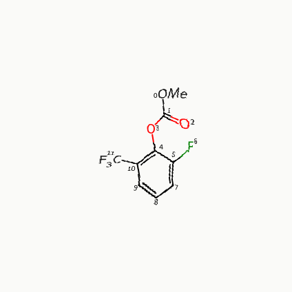 COC(=O)Oc1c(F)cccc1C(F)(F)F